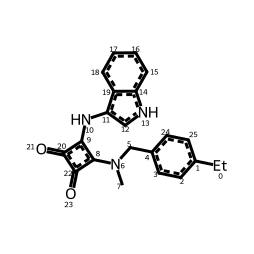 CCc1ccc(CN(C)c2c(Nc3c[nH]c4ccccc34)c(=O)c2=O)cc1